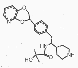 CC(C)(O)C(=O)NC(Cc1ccc(C2COc3cccnc3O2)cc1)C1CCNCC1